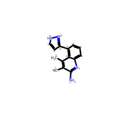 Cc1c(C#N)c(N)nc2cccc(-c3cc[nH]n3)c12